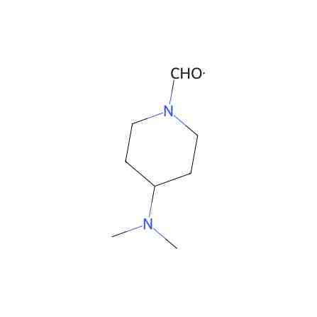 CN(C)C1CCN([C]=O)CC1